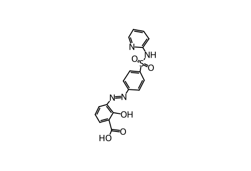 O=C(O)c1cccc(N=Nc2ccc(S(=O)(=O)Nc3ccccn3)cc2)c1O